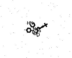 COC(=O)c1sc(C#CC(C)(C)C)cc1N(C(=O)[C@H]1CC[C@H](C)CC1)C1CCNCC1